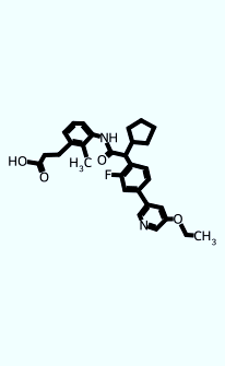 CCOc1cncc(-c2ccc(C(C(=O)Nc3cccc(CCC(=O)O)c3C)C3CCCC3)c(F)c2)c1